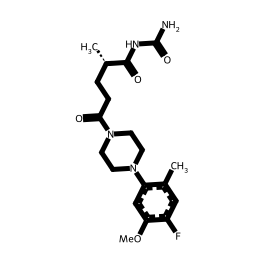 COc1cc(N2CCN(C(=O)CC[C@H](C)C(=O)NC(N)=O)CC2)c(C)cc1F